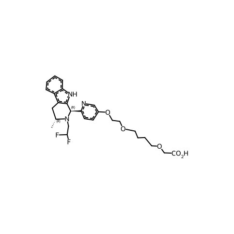 C[C@@H]1Cc2c([nH]c3ccccc23)[C@@H](c2ccc(OCCOCCCCOCC(=O)O)cn2)N1CC(F)F